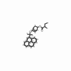 CCC(C)C(=O)OC1CC2CC1CC2OC(C)(C)c1cc2cccc3ccc4cccc1c4c32